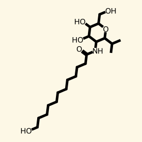 CC(C)C1OC(CO)C(O)C(O)C1NC(=O)CCCCCCCCCCCO